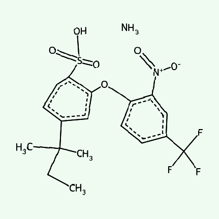 CCC(C)(C)c1ccc(S(=O)(=O)O)c(Oc2ccc(C(F)(F)F)cc2[N+](=O)[O-])c1.N